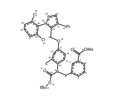 COC(=O)c1cccc(CN(C(=O)OC(C)(C)C)c2ccc(OCc3c(C(C)C)cnn3-c3c(Cl)cccc3Cl)cc2C)c1